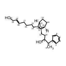 CC(c1ccccc1)C(O)CC[C@H]1[C@@H](CCCCC=CCO)[C@H]2CC[C@@H]1O2